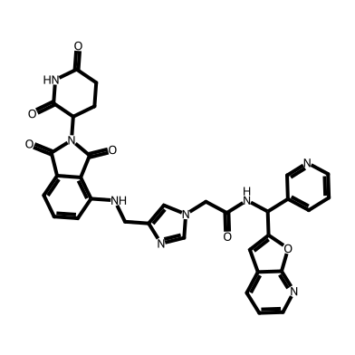 O=C1CCC(N2C(=O)c3cccc(NCc4cn(CC(=O)NC(c5cccnc5)c5cc6cccnc6o5)cn4)c3C2=O)C(=O)N1